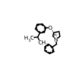 CC(C)c1cccc(O[C@@H]2CCN(Cc3ccccc3)C2)c1